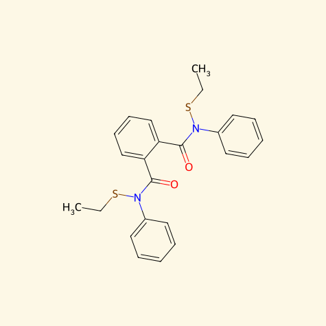 CCSN(C(=O)c1ccccc1C(=O)N(SCC)c1ccccc1)c1ccccc1